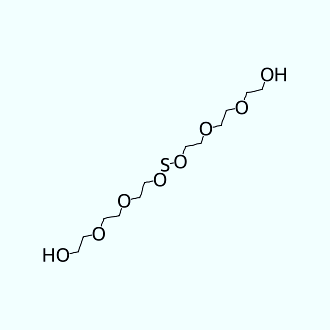 OCCOCCOCCOSOCCOCCOCCO